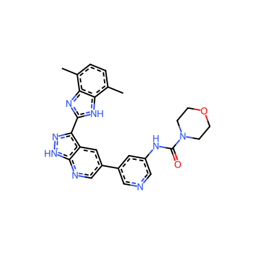 Cc1ccc(C)c2[nH]c(-c3n[nH]c4ncc(-c5cncc(NC(=O)N6CCOCC6)c5)cc34)nc12